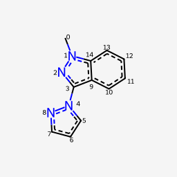 Cn1nc(-n2cccn2)c2ccccc21